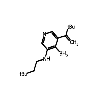 Bc1c(NCCC(C)(C)C)cncc1C(=C)C(C)(C)C